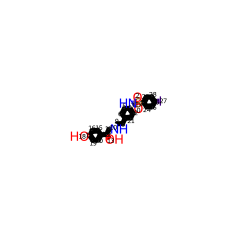 O=S(=O)(Nc1ccc(CCNCC(O)c2ccc(O)cc2)cc1)c1ccc(I)cc1